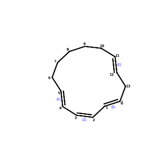 [C]1=C/C=C\C=C\CCCCC/C=C/C/1